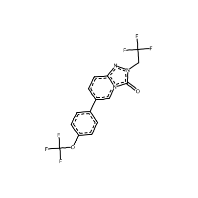 O=c1n(CC(F)(F)F)nc2ccc(-c3ccc(OC(F)(F)F)cc3)cn12